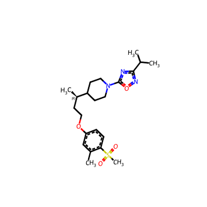 Cc1cc(OCC[C@@H](C)C2CCN(c3nc(C(C)C)no3)CC2)ccc1S(C)(=O)=O